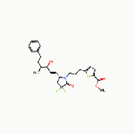 COC(=O)c1ccc(CCCN2C(=O)C(F)(F)C[C@@H]2/C=C/[C@H](O)[C@@H](C)CCc2ccccc2)s1